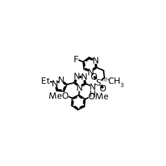 CCn1ccc(-c2nnc(NS(=O)(=O)[C@@H](C)Cc3ncc(F)cn3)n2-c2c(OC)cccc2OC)n1